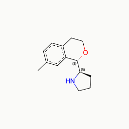 Cc1ccc2c(c1)[C@@H]([C@H]1CCCN1)OCC2